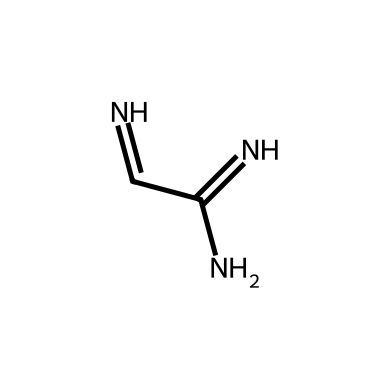 N=CC(=N)N